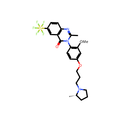 COc1cc(OCCCN2CCC[C@@H]2C)ccc1-n1c(C)nc2ccc(S(F)(F)(F)(F)F)cc2c1=O